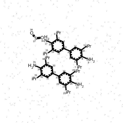 CC(C)c1cc(-c2cc(C(C)C)c(N)c(C(C)C)c2)cc(C(C)C)c1N.CC(C)c1cc(-c2cc(C(C)C)c(N)c(C(C)C)c2)cc(C(C)C)c1N.O=S=O